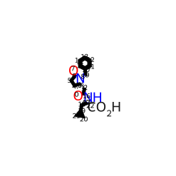 O=C(C[C@@H]1CCC(=O)N1Cc1ccccc1)N[C@@H](CC1CC1)C(=O)O